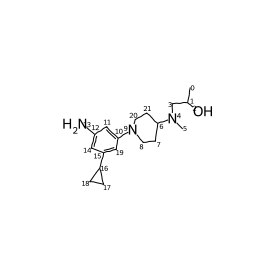 CC(O)CN(C)C1CCN(c2cc(N)cc(C3CC3)c2)CC1